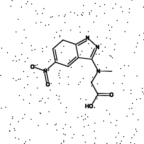 CN(CC(=O)O)C1=NN=C2CC=C([N+](=O)[O-])C=C21